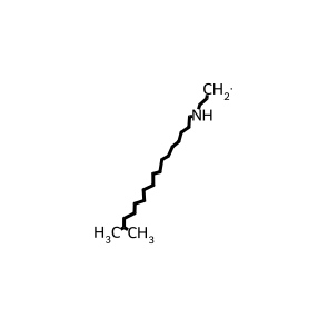 [CH2]CCNCCCCCCCCCCCCCCCC(C)C